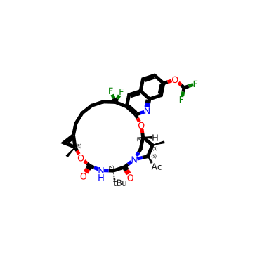 CC(=O)[C@@H]1[C@H](C)[C@@H]2CN1C(=O)[C@H](C(C)(C)C)NC(=O)O[C@]1(C)C=C1CCCCC(F)(F)c1cc3ccc(OC(F)F)cc3nc1O2